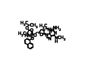 CNc1nc(N)nc2c1ncn2[C@@H]1O[C@H](CO[P@](=S)(N[C@H](C)C(=O)OC(C)C)Oc2cccc3ccccc23)C[C@@H]1C(C)=N